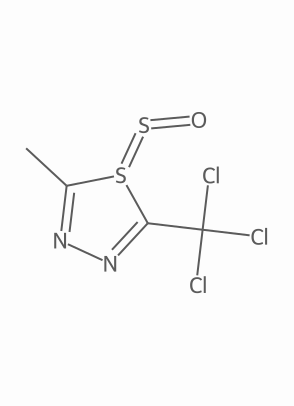 CC1=NN=C(C(Cl)(Cl)Cl)S1=S=O